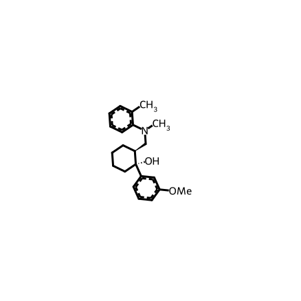 COc1cccc([C@@]2(O)CCCC[C@H]2CN(C)c2ccccc2C)c1